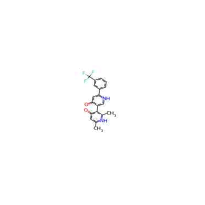 Cc1cc(=O)c(-c2c[nH]c(-c3cccc(C(F)(F)F)c3)cc2=O)c(C)[nH]1